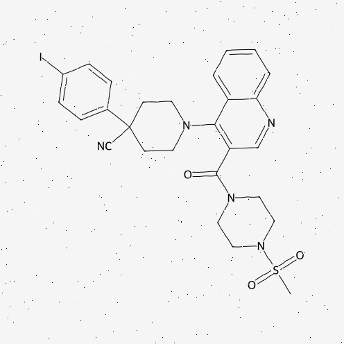 CS(=O)(=O)N1CCN(C(=O)c2cnc3ccccc3c2N2CCC(C#N)(c3ccc(I)cc3)CC2)CC1